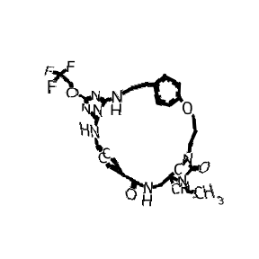 CCN1C(=O)N2CCCOc3ccc(cc3)CNc3nc(nc(OCC(F)(F)F)n3)Nc3ccc(cc3)C(=O)NCC1(C)C2